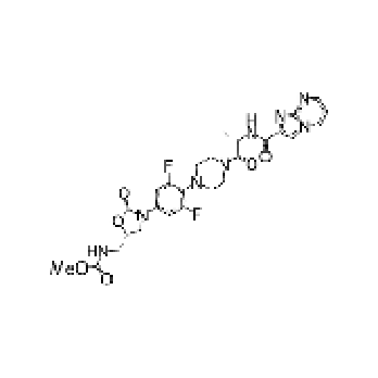 COC(=O)NC[C@H]1CN(c2cc(F)c(N3CCN(C(=O)[C@H](C)NC(=O)c4cn5cccnc5n4)CC3)c(F)c2)C(=O)O1